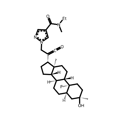 CCN(C)C(=O)c1cnn(CC(=C=O)[C@H]2CC[C@H]3[C@@H]4CC[C@@H]5C[C@](C)(O)CC[C@]5(F)[C@H]4CC[C@]23C)c1